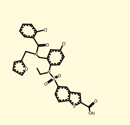 CCN(c1ccc(Cl)cc1CN(Cc1ccco1)C(=O)c1ccccc1Cl)S(=O)(=O)c1ccc2sc(C(=O)O)cc2c1